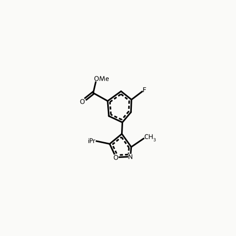 COC(=O)c1cc(F)cc(-c2c(C)noc2C(C)C)c1